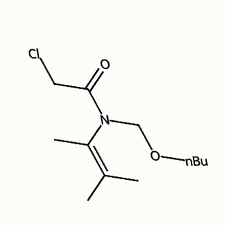 CCCCOCN(C(=O)CCl)C(C)=C(C)C